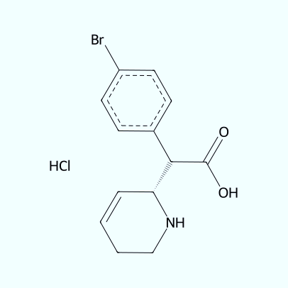 Cl.O=C(O)C(c1ccc(Br)cc1)[C@H]1C=CCCN1